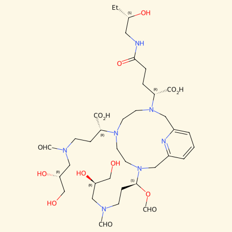 CC[C@H](O)CNC(=O)CC[C@H](C(=O)O)N1CCN([C@H](CCN(C=O)C[C@@H](O)CO)C(=O)O)CCN([C@H](CCN(C=O)C[C@@H](O)CO)OC=O)Cc2cccc(n2)C1